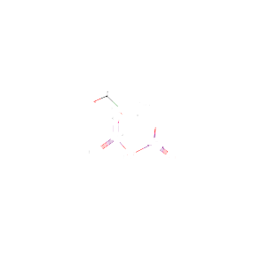 O=[PH]([O-])O[PH](=O)[O-].OCCl.[Be+2]